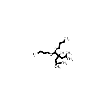 CCCCOC(OCCCC)C(C)(CC(C)C)CC(C)C